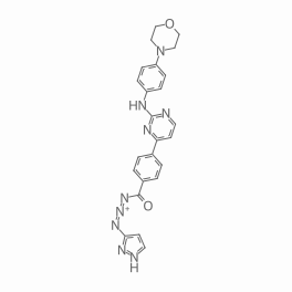 O=C(N=[N+]=Nc1cc[nH]n1)c1ccc(-c2ccnc(Nc3ccc(N4CCOCC4)cc3)n2)cc1